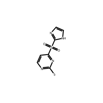 O=S(=O)(c1ccnc([S])n1)c1ncc[nH]1